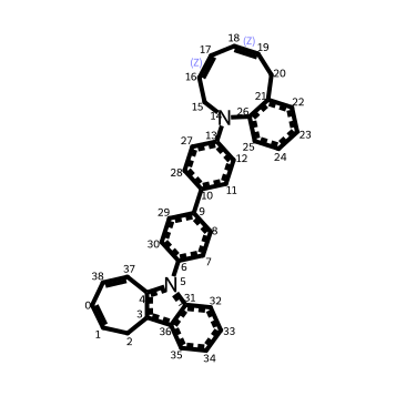 C1=CCc2c(n(-c3ccc(-c4ccc(N5C/C=C\C=C/Cc6ccccc65)cc4)cc3)c3ccccc23)C=C1